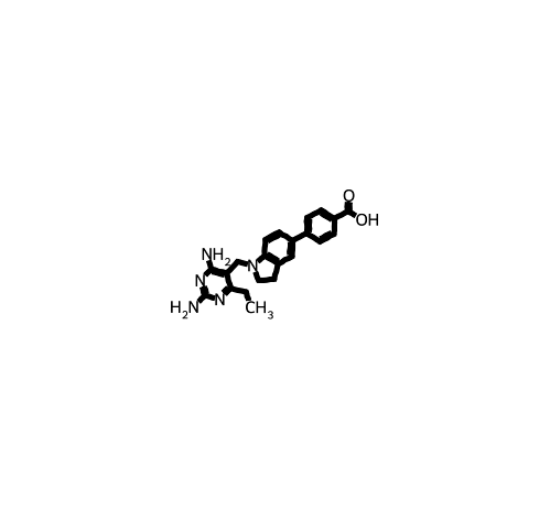 CCc1nc(N)nc(N)c1CN1CCc2cc(-c3ccc(C(=O)O)cc3)ccc21